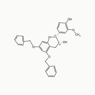 COc1cc([C@H]2Oc3cc(OCc4ccccc4)cc(OCc4ccccc4)c3C[C@H]2O)ccc1O